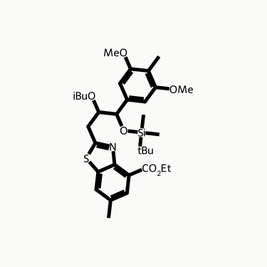 CCOC(=O)c1cc(C)cc2sc(CC(OCC(C)C)C(O[Si](C)(C)C(C)(C)C)c3cc(OC)c(C)c(OC)c3)nc12